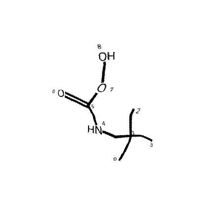 CC(C)(C)NC(=O)OO